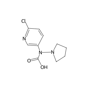 O=C(O)N(c1ccc(Cl)nc1)N1CCCC1